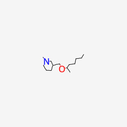 CCCCCC(C)OCC1CCCN(C)C1